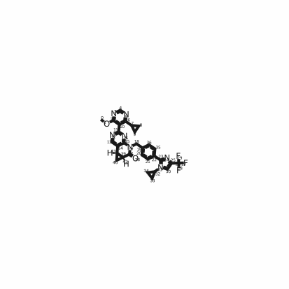 COc1ncnc(C2CC2)c1-c1ncc2c(n1)N(Cc1ccc(-c3nc(C(F)(F)F)cn3C3CC3)cc1)C(=O)[C@@H]1C[C@H]21